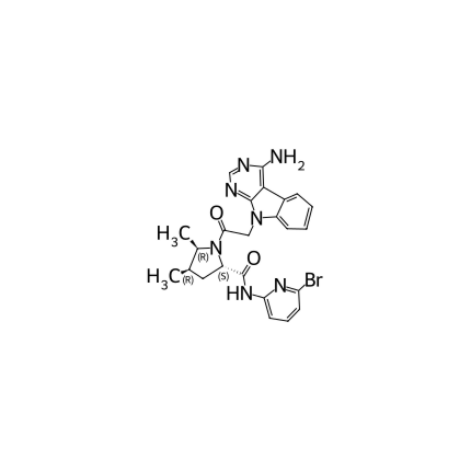 C[C@@H]1C[C@@H](C(=O)Nc2cccc(Br)n2)N(C(=O)Cn2c3ccccc3c3c(N)ncnc32)[C@@H]1C